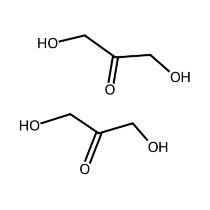 O=C(CO)CO.O=C(CO)CO